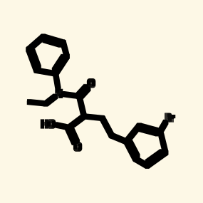 CCN(C(=O)C(CCc1cccc(Br)c1)C(=O)O)c1ccccc1